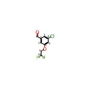 O=Cc1cc(Cl)cc(OCC(F)F)c1